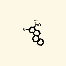 O=[N+]([O-])c1cc(Br)cc2c3c(ccc12)C1=C(CCC=C1)CC3